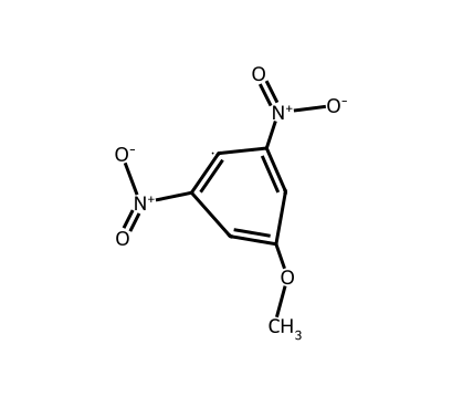 COc1cc([N+](=O)[O-])[c]c([N+](=O)[O-])c1